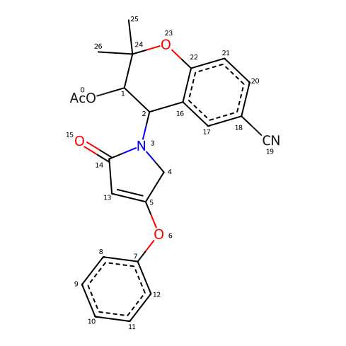 CC(=O)OC1C(N2CC(Oc3ccccc3)=CC2=O)c2cc(C#N)ccc2OC1(C)C